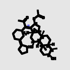 CC(=O)O[C@H]1C[C@@]2(C)[C@@](N)(C[C@@H](O)[C@H]3[C@@]4(C)CC[C@@H](O)[C@@H](C)[C@@H]4CC[C@@]32C)/C1=C(/C(C)=O)C1CCCC(=C2CCCC2)C1